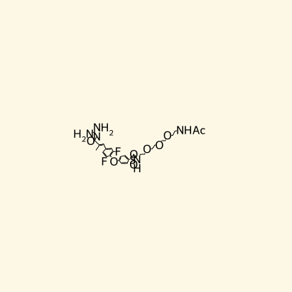 CC(=O)NCCOCCOCCOCCNS(=O)(=O)c1ccc(Oc2c(F)cc(/C=C(\C)C(=O)N=C(N)N)cc2F)cc1